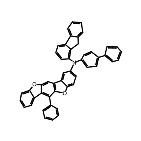 c1ccc(-c2ccc(N(c3ccc4oc5c(-c6ccccc6)c6c(cc5c4c3)oc3ccccc36)c3cccc4c3Cc3ccccc3-4)cc2)cc1